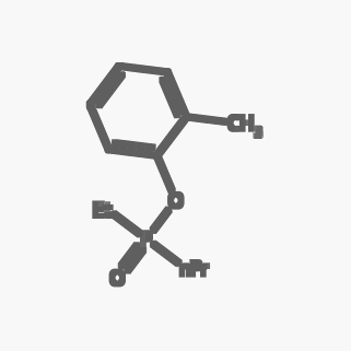 CCCP(=O)(CC)Oc1ccccc1C